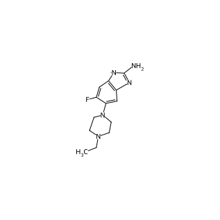 CCN1CCN(c2cc3c(cc2F)[N]C(N)=N3)CC1